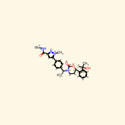 C[C@@H](c1ccc(-c2cc(C(=O)NC(C)(C)C)nn2C)cc1)N1CC[C@](CC(C)(C)O)(c2ccccc2)OC1=O